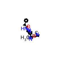 CN1CCC1COc1cnn(C)c1-c1ccn2nc(NC(=O)[C@@H]3C[C@@H]3c3ccccc3)cc2c1